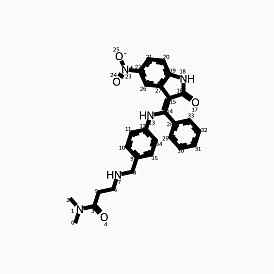 CN(C)C(=O)CCNCc1ccc(NC(=C2C(=O)Nc3ccc([N+](=O)[O-])cc32)c2ccccc2)cc1